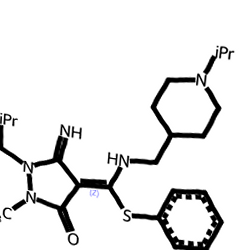 CC(C)CN1C(=N)/C(=C(\NCC2CCN(C(C)C)CC2)Sc2ccccc2)C(=O)N1C